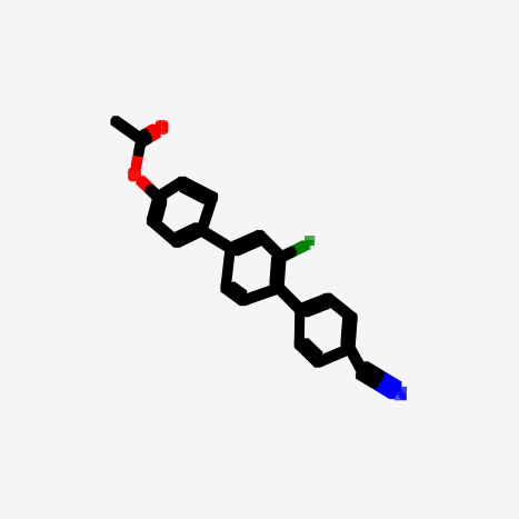 CC(=O)Oc1ccc(-c2ccc(-c3ccc(C#N)cc3)c(F)c2)cc1